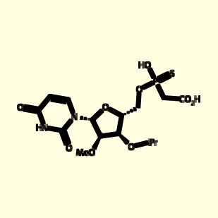 CO[C@@H]1[C@H](OC(C)C)[C@@H](COP(O)(=S)CC(=O)O)O[C@H]1n1ccc(=O)[nH]c1=O